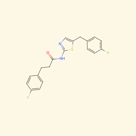 O=C(CCc1ccc(F)cc1)Nc1ncc(Cc2ccc(F)cc2)s1